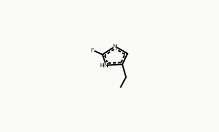 CCc1cnc(F)[nH]1